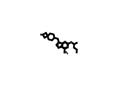 CCCC(C)Oc1nc(N)c2ncc(CC3CCC4(CC3)CNC4)n2n1